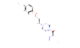 C[C@@H](NC(=O)O)C(=O)N1CCN(CCCOc2ccc(C#N)cc2)CC1